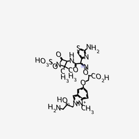 C[n+]1c2ccc(OCC(O/N=C(\C(=O)NC3C(=O)N(OS(=O)(=O)O)C3(C)C)c3csc(N)n3)C(=O)O)cc2cn1C[C@H](O)CN